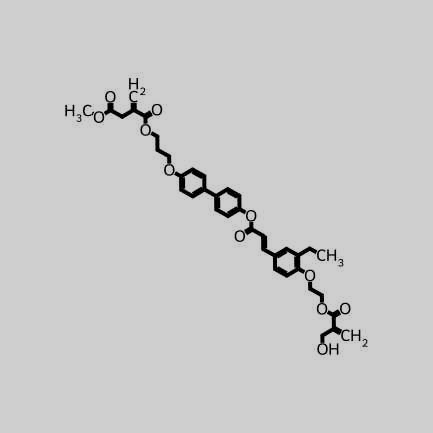 C=C(CO)C(=O)OCCOc1ccc(/C=C/C(=O)Oc2ccc(-c3ccc(OCCCOC(=O)C(=C)CC(=O)OC)cc3)cc2)cc1CC